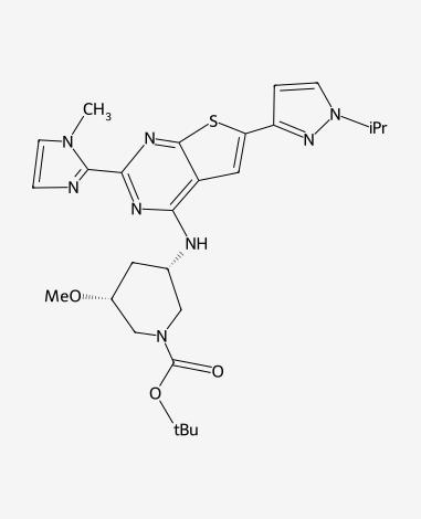 CO[C@@H]1C[C@H](Nc2nc(-c3nccn3C)nc3sc(-c4ccn(C(C)C)n4)cc23)CN(C(=O)OC(C)(C)C)C1